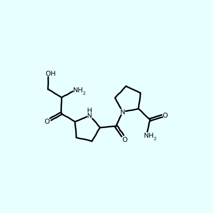 NC(=O)C1CCCN1C(=O)C1CCC(C(=O)C(N)CO)N1